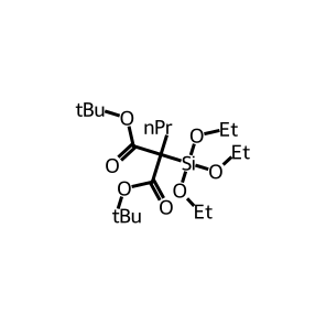 CCCC(C(=O)OC(C)(C)C)(C(=O)OC(C)(C)C)[Si](OCC)(OCC)OCC